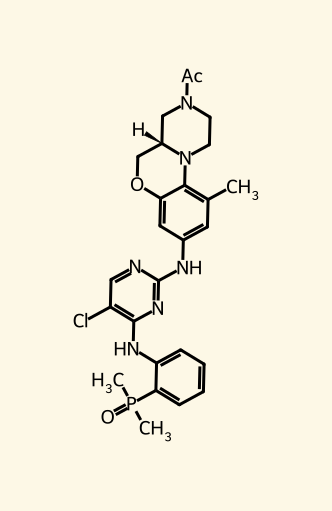 CC(=O)N1CCN2c3c(C)cc(Nc4ncc(Cl)c(Nc5ccccc5P(C)(C)=O)n4)cc3OC[C@@H]2C1